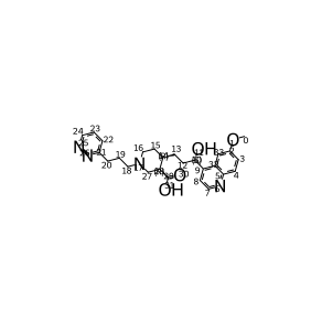 COc1ccc2nccc([C@@H](O)CC[C@@H]3CCN(CCCc4cccnn4)C[C@@H]3C(=O)O)c2c1